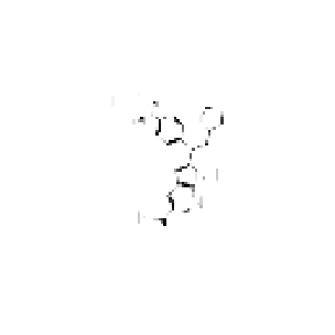 CS(=O)(=O)c1ccc(C(CC2CCCC2)c2cc3cc(C(=O)O)cnc3[nH]2)cc1